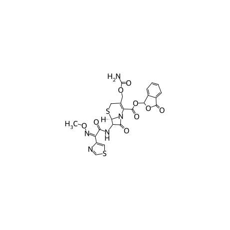 CO/N=C(\C(=O)NC1C(=O)N2C(C(=O)OC3OC(=O)c4ccccc43)=C(COC(N)=O)CS[C@H]12)c1cscn1